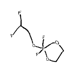 FC(F)COP1(F)(F)OCCO1